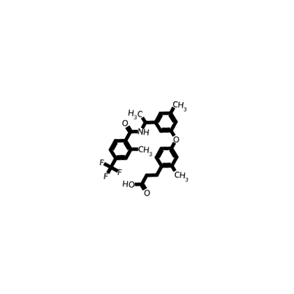 Cc1cc(Oc2ccc(CCC(=O)O)c(C)c2)cc(C(C)NC(=O)c2ccc(C(F)(F)F)cc2C)c1